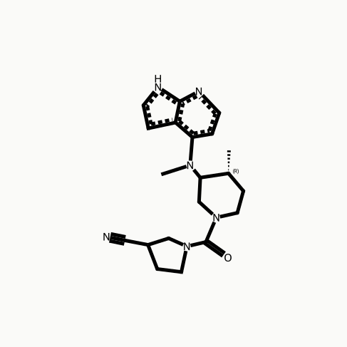 C[C@@H]1CCN(C(=O)N2CCC(C#N)C2)CC1N(C)c1ccnc2[nH]ccc12